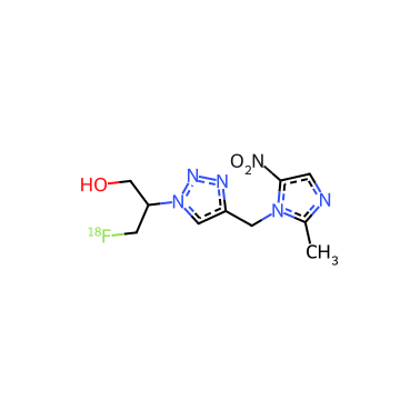 Cc1ncc([N+](=O)[O-])n1Cc1cn(C(CO)C[18F])nn1